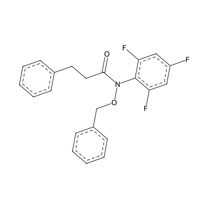 O=C(CCc1ccccc1)N(OCc1ccccc1)c1c(F)cc(F)cc1F